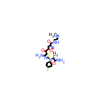 C/N=C\CNC(=O)c1cc(C(=O)c2sc(N(c3ccc(F)cc3)C(C)C(N)=O)nc2N)on1